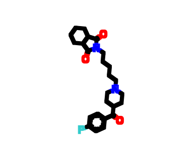 O=C(c1ccc(F)cc1)C1CCN(CCCCCN2C(=O)C3CCCCC3C2=O)CC1